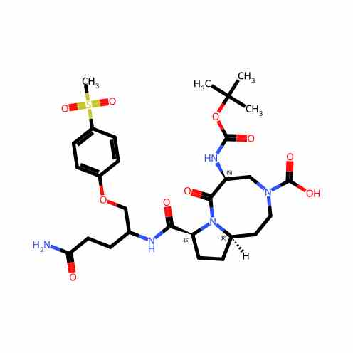 CC(C)(C)OC(=O)N[C@H]1CN(C(=O)O)CC[C@H]2CC[C@@H](C(=O)NC(CCC(N)=O)COc3ccc(S(C)(=O)=O)cc3)N2C1=O